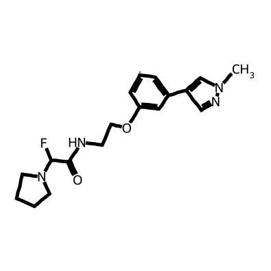 Cn1cc(-c2c[c]cc(OCCNC(=O)C(F)N3CCCC3)c2)cn1